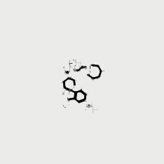 COc1ccc2c(c1)C(=O)O[C@]21CC[C@H](C(=O)N(C)CCN2CCCCCC2)CC1